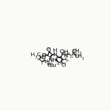 Cc1ccc([C@H](Nc2c(Nc3ccc(Cl)c4c3C(O)N(CCN(C)C)C4)c(=O)c2=O)C(C)(C)C)o1